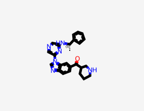 C[C@H](Nc1cncc(-n2cnc3ccc(C(=O)C4CCCNC4)cc32)n1)c1ccccc1